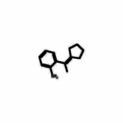 CC(=C1CCCC1)c1ccccc1N